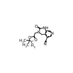 CC(C)(C)OC(=O)CN1Cc2c(C#N)cncc2NC1=O